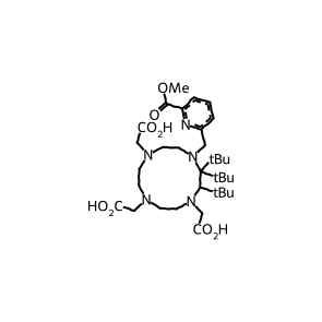 COC(=O)c1cccc(CN2CCN(CC(=O)O)CCN(CC(=O)O)CCN(CC(=O)O)C(C(C)(C)C)C2(C(C)(C)C)C(C)(C)C)n1